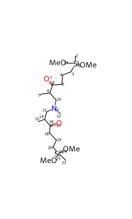 CO[Si](C)(CCCC(=O)C(C)CN(C)CC(C)C(=O)CCC[Si](C)(OC)OC)OC